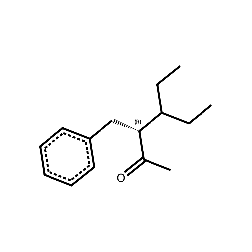 CCC(CC)[C@@H](Cc1ccccc1)C(C)=O